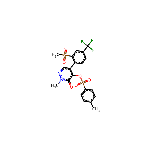 Cc1ccc(S(=O)(=O)Oc2c(-c3ccc(C(F)(F)F)cc3S(C)(=O)=O)cnn(C)c2=O)cc1